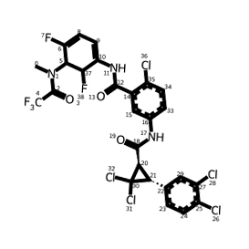 CN(C(=O)C(F)(F)F)C1C(F)=CC=C(NC(=O)c2cc(NC(=O)[C@H]3[C@H](c4ccc(Cl)c(Cl)c4)C3(Cl)Cl)ccc2Cl)C1F